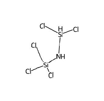 Cl[SiH](Cl)N[Si](Cl)(Cl)Cl